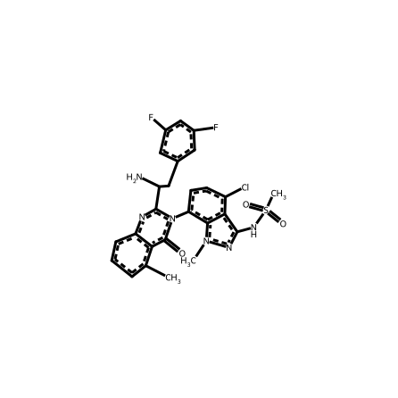 Cc1cccc2nc(C(N)Cc3cc(F)cc(F)c3)n(-c3ccc(Cl)c4c(NS(C)(=O)=O)nn(C)c34)c(=O)c12